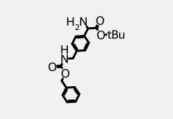 CC(C)(C)OC(=O)C(N)c1ccc(CNC(=O)OCc2ccccc2)cc1